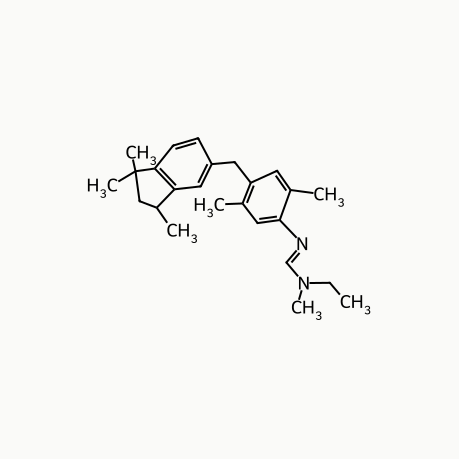 CCN(C)C=Nc1cc(C)c(Cc2ccc3c(c2)C(C)CC3(C)C)cc1C